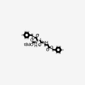 CC(C)(C)OC(=O)N[C@@H](CC(=O)NCCC(=O)OCc1ccccc1)C(=O)OCc1ccccc1